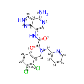 Nc1ncc(NC(=O)C(=O)N(Cc2ccccn2)Cc2cccc(Cl)c2Cl)c2n[nH]cc12